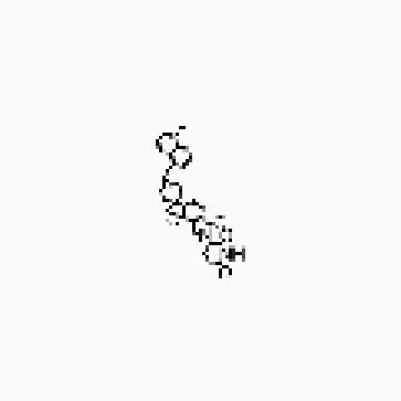 O=C1CCC(N2Cc3c(ccc4c3OCC43CCN(Cc4cccc5c(F)cccc45)CC3)C2=O)C(=O)N1